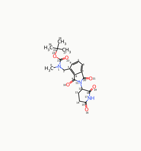 CN(Cc1cccc2c1C(=O)N(C1CCC(=O)NC1=O)C2=O)C(=O)OC(C)(C)C